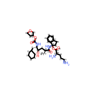 CC(C)[C@@H](C[C@H](O)[C@H](CC1CCCCC1)NC(=O)O[C@H]1CCOC1)C(=O)N[C@]1(OC(=O)[C@H](N)CCCN)CCc2ccccc21